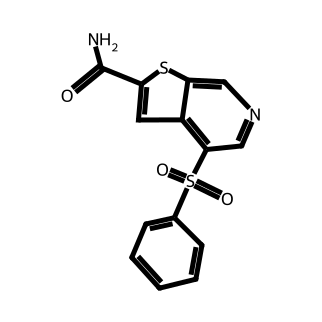 NC(=O)c1cc2c(S(=O)(=O)c3ccccc3)cncc2s1